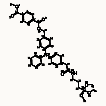 COC(=O)c1ccc(C(=O)OCc2ccc(N(c3ccccc3)c3ccc(CC(=O)NCCC[Si](OC)(OC)OC)cc3)cc2)cc1